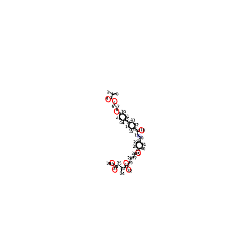 C=C(C)C(=O)OCCOc1ccc(-c2ccc(C(=O)/C=C/c3ccc(OCCCCOC(=O)C(=C)CC(=O)OC)cc3)cc2)cc1